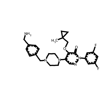 CC1(COc2c(N3CCN(Cc4ccc(CN)cc4)CC3)cnn(-c3cc(F)cc(F)c3)c2=O)CC1